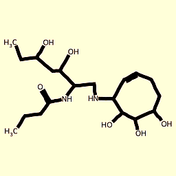 CCCC(=O)NC(CNC1/C=C\CCC(O)C(O)C1O)C(O)CC(O)CC